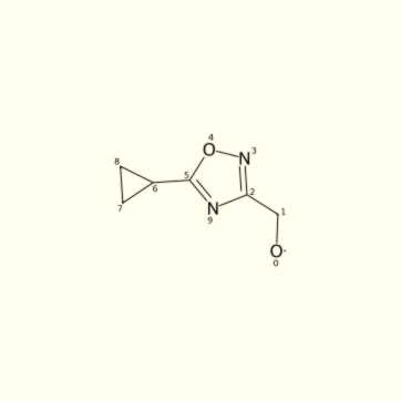 [O]Cc1noc(C2CC2)n1